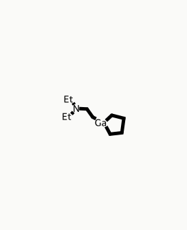 CCN(CC)C[CH2][Ga]1[CH2]CC[CH2]1